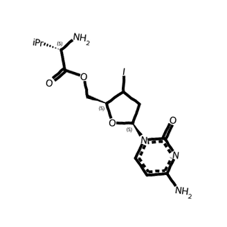 CC(C)[C@H](N)C(=O)OC[C@@H]1O[C@H](n2ccc(N)nc2=O)CC1I